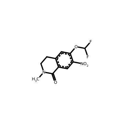 CN1CCc2cc(OC(F)F)c([N+](=O)[O-])cc2C1=O